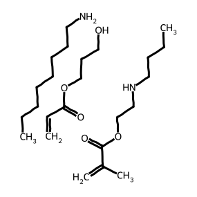 C=C(C)C(=O)OCCNCCCC.C=CC(=O)OCCCO.CCCCCCCCN